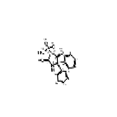 O=C1NC(c2ccccc2)(c2ccccc2)C(=O)N1P(=O)(O)O